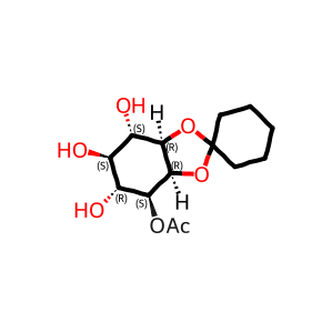 CC(=O)O[C@H]1[C@H](O)[C@@H](O)[C@H](O)[C@H]2OC3(CCCCC3)O[C@H]21